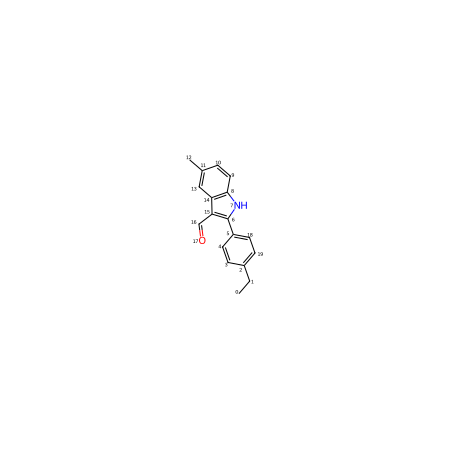 CCc1ccc(-c2[nH]c3ccc(C)cc3c2C=O)cc1